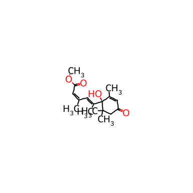 COC(=O)/C=C(C)\C=C(/C)[C@]1(O)C(C)=CC(=O)CC1(C)C